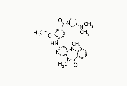 CCOc1cc(C(=O)N2CC[C@H](N(C)C)C2)ccc1Nc1cc2c(cn1)N(C)C(=O)c1ccccc1N2C